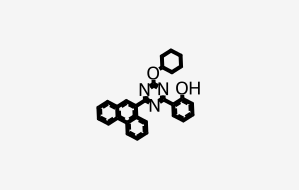 Oc1ccccc1-c1nc(OC2CCCCC2)nc(-c2cc3ccccc3c3ccccc23)n1